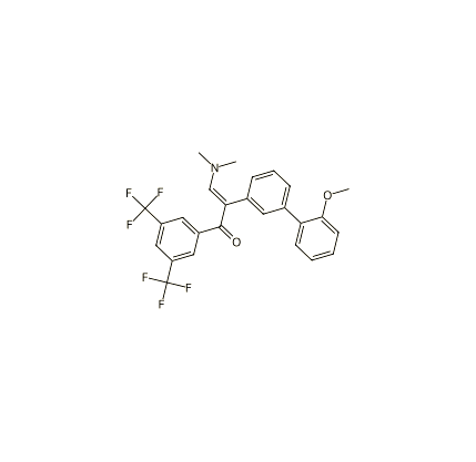 COc1ccccc1-c1cccc(/C(=C\N(C)C)C(=O)c2cc(C(F)(F)F)cc(C(F)(F)F)c2)c1